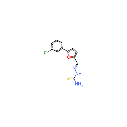 NC(=S)NN=Cc1ccc(-c2cccc(Cl)c2)o1